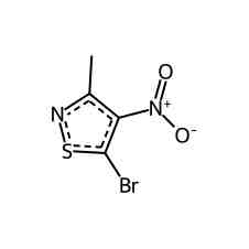 Cc1nsc(Br)c1[N+](=O)[O-]